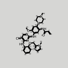 C=CC(=O)Nc1cc(Nc2ncc(Cl)c(Nc3ccccc3OCc3nccn3C)n2)c(OC)cc1N1CCN(C)CC1